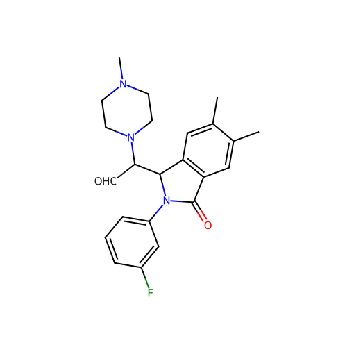 Cc1cc2c(cc1C)C(C(C=O)N1CCN(C)CC1)N(c1cccc(F)c1)C2=O